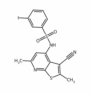 Cc1cc(NS(=O)(=O)c2cccc(I)c2)c2c(C#N)c(C)sc2n1